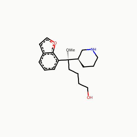 CO[C@](CCCCO)(c1cccc2ccoc12)[C@@H]1CCCNC1